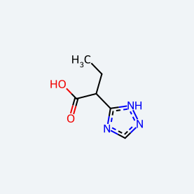 CCC(C(=O)O)c1ncn[nH]1